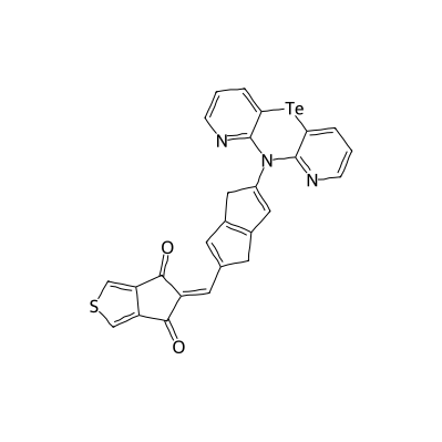 O=C1C(=CC2=CC3=C(C=C(N4c5ncccc5[Te]c5cccnc54)C3)C2)C(=O)c2cscc21